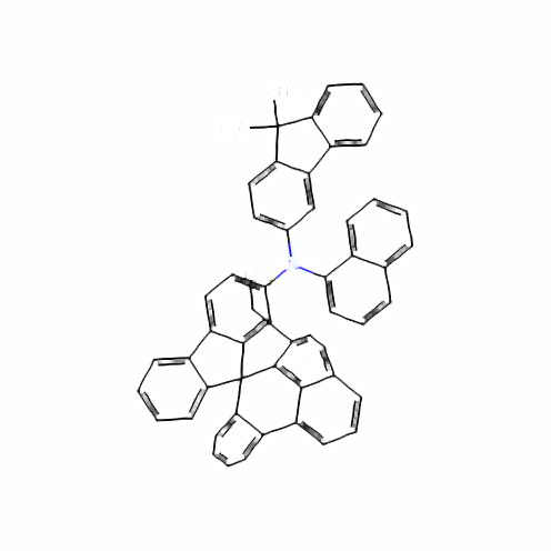 CCc1ccc2cccc3c2c1C1(c2ccccc2-c2ccc(N(c4ccc5c(c4)-c4ccccc4C5(C)C)c4cccc5ccccc45)cc21)c1ccccc1-3